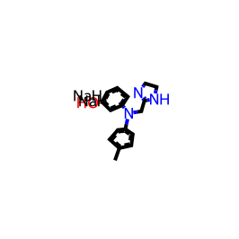 Cc1ccc(N(CC2=NCCN2)c2cccc(O)c2)cc1.[NaH].[NaH]